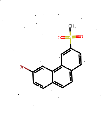 CS(=O)(=O)c1ccc2ccc3ccc(Br)cc3c2c1